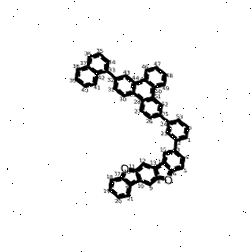 c1cc(-c2ccc3oc4cc5c(cc4c3c2)oc2ccccc25)cc(-c2ccc3c4ccc(-c5cccc6ccccc56)cc4c4ccccc4c3c2)c1